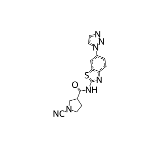 N#CN1CCC(C(=O)Nc2nc3ccc(-n4ccnn4)cc3s2)C1